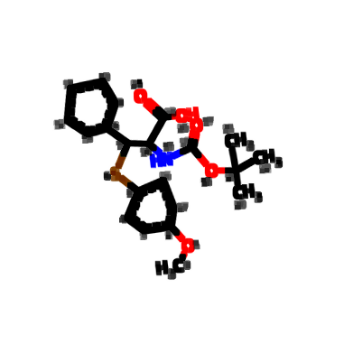 COc1ccc(SC(c2ccccc2)C(NC(=O)OC(C)(C)C)C(=O)O)cc1